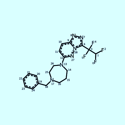 FC(F)C(F)(F)c1nnc2ccc(N3CCCN(Cc4ccccc4)CC3)nn12